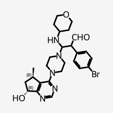 C[C@@H]1C[C@@H](O)c2ncnc(N3CCN(C(NC4CCOCC4)C(C=O)c4ccc(Br)cc4)CC3)c21